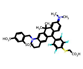 C[N+](C)=C1C=CC2=C(c3c(F)c(F)c(SCC(=O)O)c(F)c3F)c3cc4c(cc3C(C)(C)C2=C1)N(Cc1ccc(S(=O)(=O)O)cc1S(=O)(=O)O)CCC4